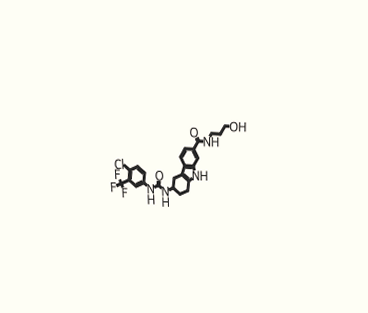 O=C(Nc1ccc(Cl)c(C(F)(F)F)c1)NC1CCc2[nH]c3cc(C(=O)NCCCO)ccc3c2C1